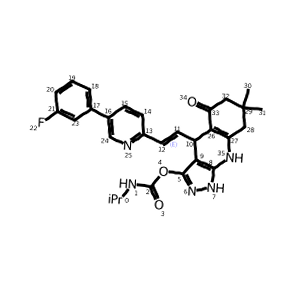 CC(C)NC(=O)Oc1n[nH]c2c1C(/C=C/c1ccc(-c3cccc(F)c3)cn1)C1=C(CC(C)(C)CC1=O)N2